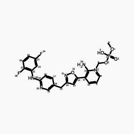 COP(=O)(O)OC[n+]1cccc(-c2cc(Cc3ccc(Nc4cc(F)ccc4F)nc3)no2)c1N